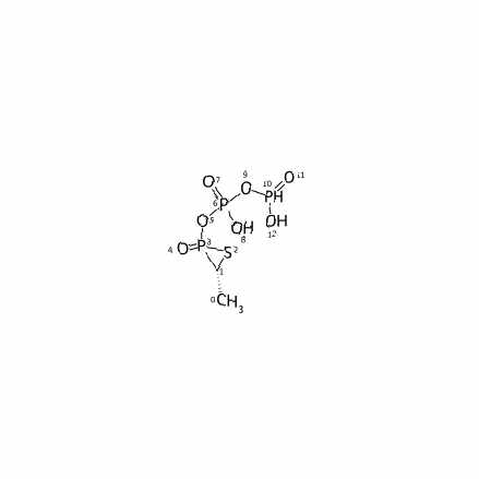 C[C@H]1SP1(=O)OP(=O)(O)O[PH](=O)O